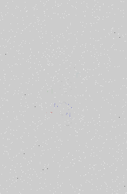 CCn1c(-c2ccc(OC(F)(F)F)cc2Cl)nn2c(C)cc(C(C)C)c2c1=O